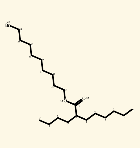 CCCCCCC(CCCC)C(=O)OCCCCCCCCCBr